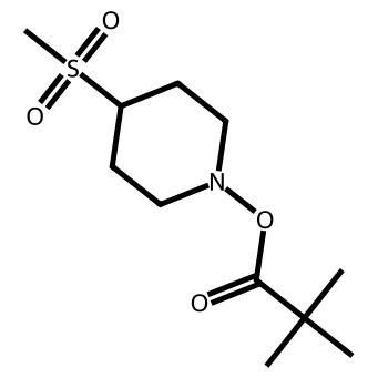 CC(C)(C)C(=O)ON1CCC(S(C)(=O)=O)CC1